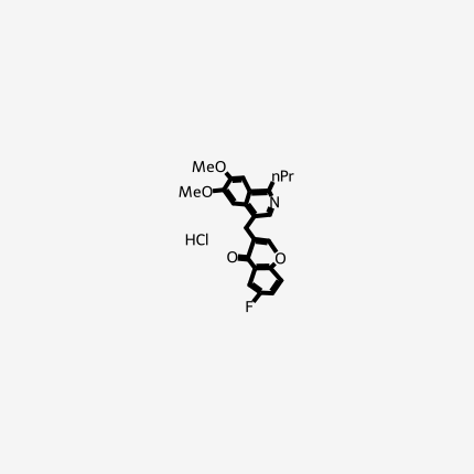 CCCc1ncc(Cc2coc3ccc(F)cc3c2=O)c2cc(OC)c(OC)cc12.Cl